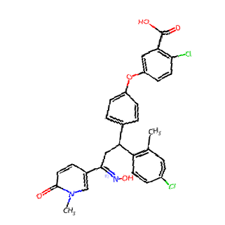 Cc1cc(Cl)ccc1C(C/C(=N\O)c1ccc(=O)n(C)c1)c1ccc(Oc2ccc(Cl)c(C(=O)O)c2)cc1